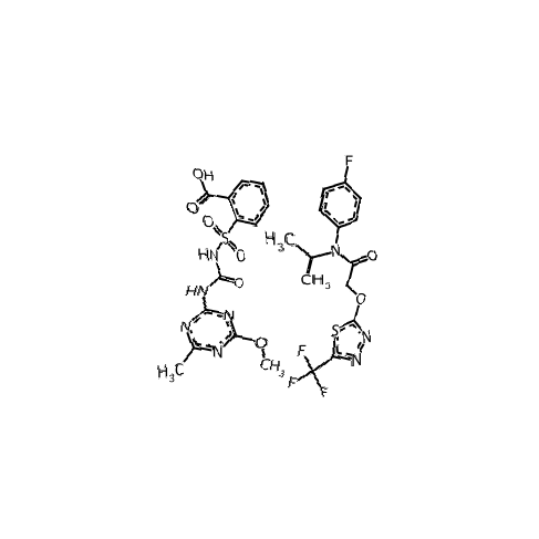 CC(C)N(C(=O)COc1nnc(C(F)(F)F)s1)c1ccc(F)cc1.COc1nc(C)nc(NC(=O)NS(=O)(=O)c2ccccc2C(=O)O)n1